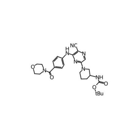 CC(C)(C)OC(=O)NC1CCCN(c2cnc(C#N)c(Nc3ccc(C(=O)N4CCOCC4)cc3)n2)C1